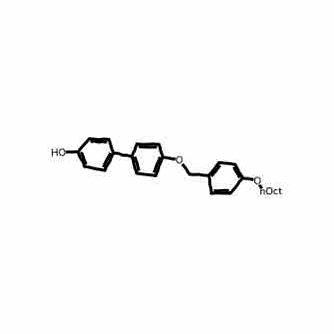 CCCCCCCCOc1ccc(COc2ccc(-c3ccc(O)cc3)cc2)cc1